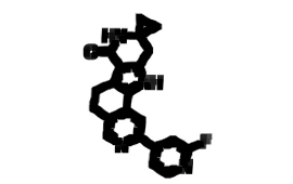 O=C1NC2(CC2)Cc2[nH]c3c(c21)CCc1cnc(-c2ccnc(F)c2)cc1-3